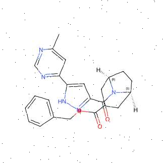 Cc1cc(-c2cc(C(=O)N3[C@@H]4CC[C@H]3CC(C(=O)OCc3ccccc3)C4)n[nH]2)ncn1